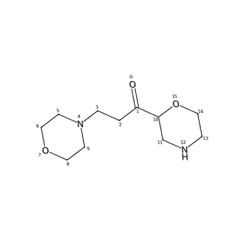 O=C(CCN1CCOCC1)C1CNCCO1